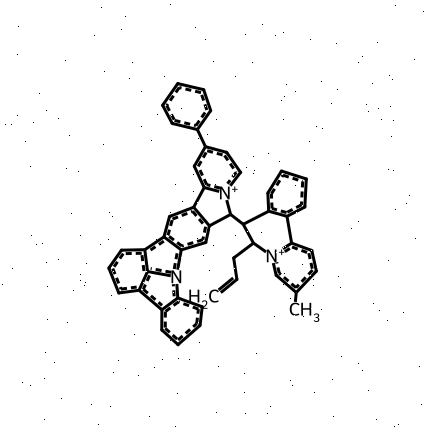 C=CCC1C(C2c3cc4c(cc3-c3cc(-c5ccccc5)cc[n+]32)c2cccc3c5ccccc5n4c32)c2ccccc2-c2ccc(C)c[n+]21